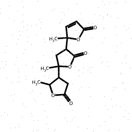 CC1OC(=O)CC1C1(C)CC(C2(C)C=CC(=O)O2)C(=O)O1